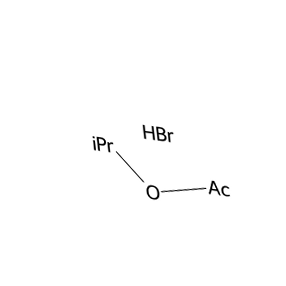 Br.CC(=O)OC(C)C